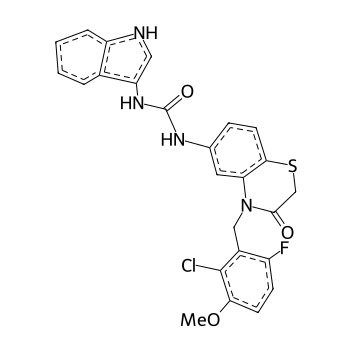 COc1ccc(F)c(CN2C(=O)CSc3ccc(NC(=O)Nc4c[nH]c5ccccc45)cc32)c1Cl